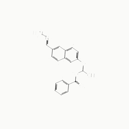 CC(OC(=O)c1ccccc1)Oc1ccc2cc(C=NN)ccc2c1